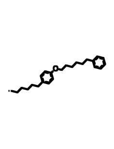 [CH2]CCCCCc1ccc(OCCCCCCc2ccccc2)cc1